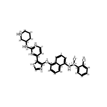 [O-][S+](Nc1cccc2c(Oc3ncsc3-c3ccnc(NC4CCCNC4)n3)cccc12)c1ccccc1Cl